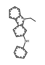 CCn1c2ccccc2c2ccc(Nc3ccccc3)cc21